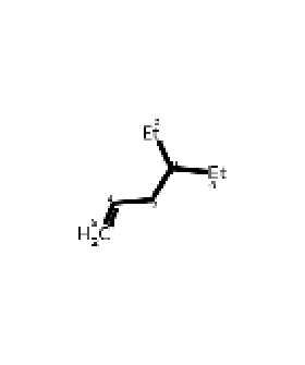 [CH2]CC(CC)CC=C